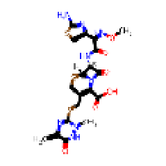 C=C1N=C(SCC2=C(C(=O)O)N3C(=O)[C@@H](NC(=O)/C(=N\OC)c4csc(N)n4)[C@H]3SC2)N(C)NC1=O